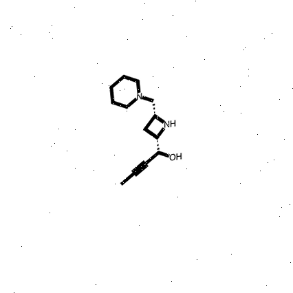 CC#CC(O)[C@@H]1C[C@H](CN2CCCCC2)N1